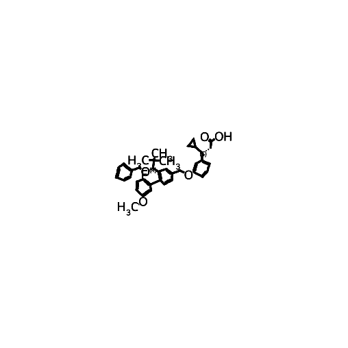 COc1ccc(F)c(-c2ccc(COc3cccc([C@@H](CC(=O)O)C4CC4)c3)cc2[C@H](OCc2ccccc2)C(C)(C)C)c1